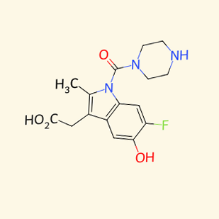 Cc1c(CC(=O)O)c2cc(O)c(F)cc2n1C(=O)N1CCNCC1